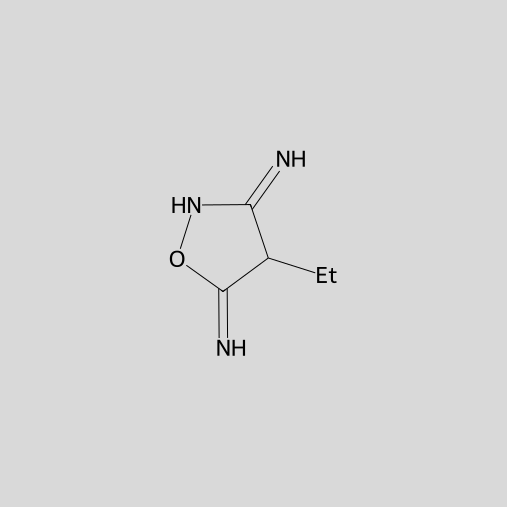 CCC1C(=N)NOC1=N